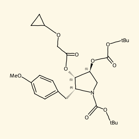 COc1ccc(C[C@@H]2[C@H](OC(=O)COC3CC3)[C@@H](OC(=O)OC(C)(C)C)CN2C(=O)OC(C)(C)C)cc1